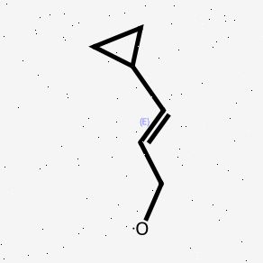 [O]C/C=C/C1CC1